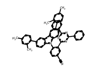 Cc1ccc(-c2ccc3c(c2)c2cc(-c4ccc(C)cc4C)ccc2n3-c2ccc(C#N)cc2-c2nc(-c3ccccc3)nc(-c3ccccc3)n2)c(C)c1